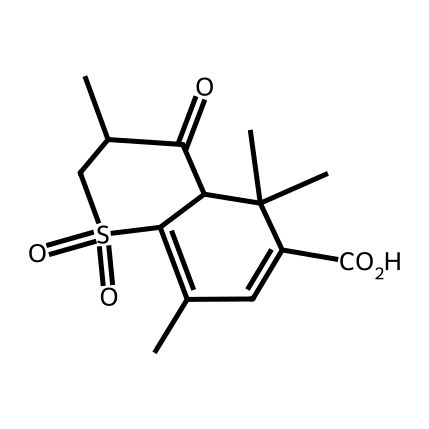 CC1=C2C(C(=O)C(C)CS2(=O)=O)C(C)(C)C(C(=O)O)=C1